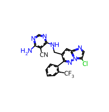 N#Cc1c(N)ncnc1NCc1cc2ncc(Cl)n2nc1-c1ccccc1C(F)(F)F